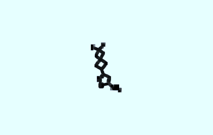 Nc1cc(C2CC3(C2)CC(F)(F)C3)no1